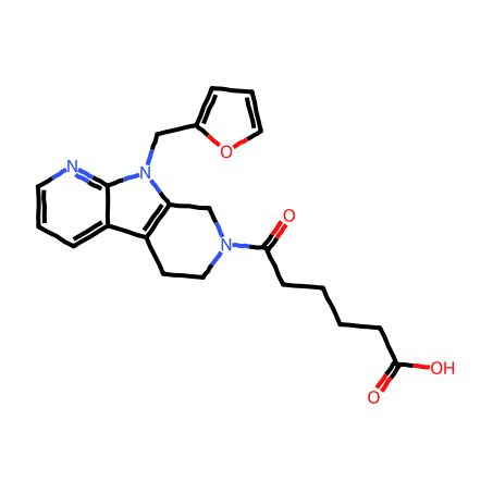 O=C(O)CCCCC(=O)N1CCc2c(n(Cc3ccco3)c3ncccc23)C1